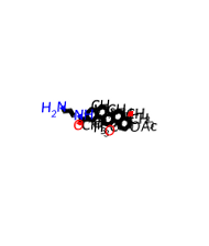 CC(=O)O[C@H]1CC[C@]2(C)C3C(=O)C=C4C(CC[C@@]5(C)CC[C@](C)(C(=O)NCCCN)C[C@@H]45)[C@]3(C)CC[C@H]2C1(C)C